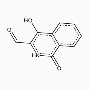 O=Cc1[nH]c(=O)c2ccccc2c1O